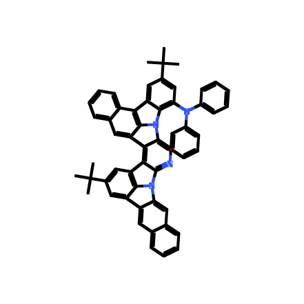 CC(C)(C)c1cc(N(c2ccccc2)c2ccccc2)c2c(c1)c1c3ccccc3cc3c4c5c6cc(C(C)(C)C)cc7c8cc9ccccc9cc8n(c5ncc4n2c31)c76